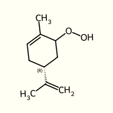 C=C(C)[C@@H]1CC=C(C)C(OO)C1